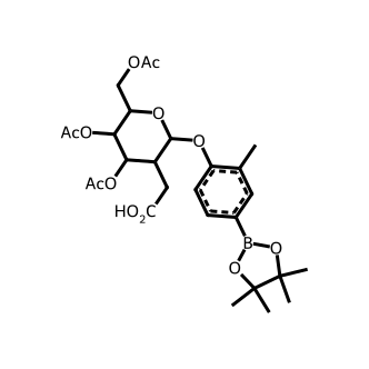 CC(=O)OCC1OC(Oc2ccc(B3OC(C)(C)C(C)(C)O3)cc2C)C(CC(=O)O)C(OC(C)=O)C1OC(C)=O